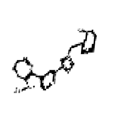 CC(C)[SiH](C)C1=C(c2ccnc(-c3cn(Cc4ccccc4Cl)cn3)c2)N=NCCC1